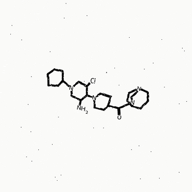 NC1CN(C2CCCCC2)CC(Cl)C1N1CCC(C(=O)N2CCN3CCCC2CC3)CC1